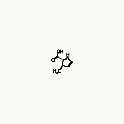 C[C@@H]1C=CN[C@H]1C(=O)O